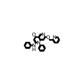 O=c1cc(Nc2ccccc2)n(-c2ccccc2)c2cc(OCc3ccccn3)ncc12